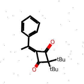 CC(=C1C(=O)C(C(C)(C)C)(C(C)(C)C)C1=O)c1ccccc1